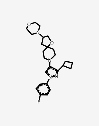 Fc1ccc(-n2cc(N3CCC4(CC3)CC(N3CCOCC3)CO4)c(C3CCC3)n2)cc1